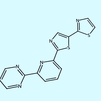 c1cnc(-c2cccc(-c3ncc(-c4nccs4)s3)n2)nc1